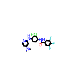 CN(C)c1ccnc(NC2CCC(NC(=O)c3cc(F)c(F)c(F)c3)CC2)c1.Cl